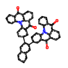 O=c1c2ccccc2n2c3ccc(-c4cc5ccccc5cc4-c4ccc5c(c4)c(=O)c4cccc6c(=O)c7ccccc7n5c64)cc3c(=O)c3cccc1c32